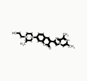 Cc1cn2cc(-c3cc4ccc(N5CCN(CCO)C(C)C5)cc4oc3=O)nc2c(C)n1